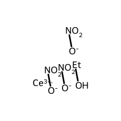 CCO.O=[N+]([O-])[O-].O=[N+]([O-])[O-].O=[N+]([O-])[O-].[Ce+3]